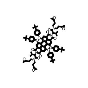 CC(C)C(C(=O)N(CCC1CO1)CCC1CO1)N1C(=O)c2cc(Oc3ccc(C(C)(C)C)cc3)c3c4c(Oc5ccc(C(C)(C)C)cc5)cc5c6c(cc(Oc7ccc(C(C)(C)C)cc7)c(c7c(Oc8ccc(C(C)(C)C)cc8)cc(c2c37)C1=O)c64)C(=O)N(C(C(=O)N(CCC1CO1)CCC1CO1)C(C)C)C5=O